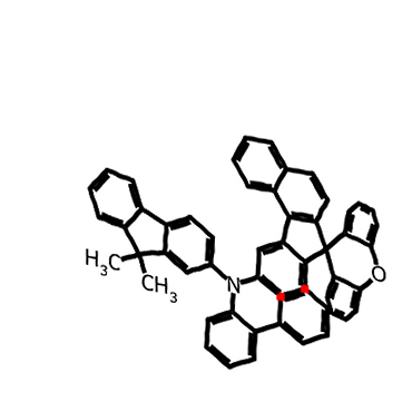 CC1(C)c2ccccc2-c2ccc(N(c3ccc4c(c3)-c3c(ccc5ccccc35)C43c4ccccc4Oc4ccccc43)c3ccccc3-c3ccccc3)cc21